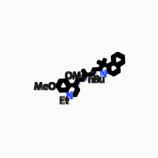 CCCC[N+]1=C(/C=C/C(C)=C/C=C2\C=CN(CC)c3cc(OC)cc(OC)c32)C(C)(C)c2c1ccc1ccccc21